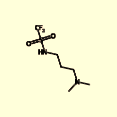 CN(C)CCCNS(=O)(=O)C(F)(F)F